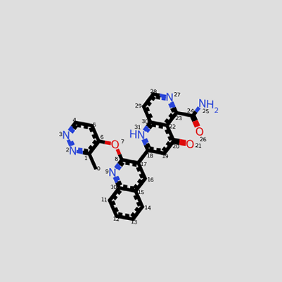 Cc1nnccc1Oc1nc2ccccc2cc1-c1cc(=O)c2c(C(N)=O)nccc2[nH]1